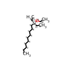 CCCCCCCCCC[Si](CC)(CC)OCC